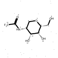 O=C(N[C@@H]1CO[C@H](CO)[C@H](O)[C@@H]1O)C(F)(F)F